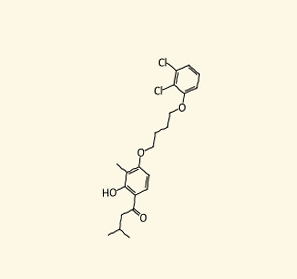 Cc1c(OCCCCOc2cccc(Cl)c2Cl)ccc(C(=O)CC(C)C)c1O